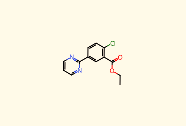 CCOC(=O)c1cc(-c2ncccn2)ccc1Cl